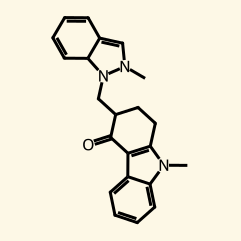 CN1C=C2C=CC=CC2N1CC1CCc2c(c3ccccc3n2C)C1=O